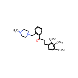 COc1ccc(C=CC(=O)c2ccccc2CN2CCN(C)CC2)c(OC)c1OC